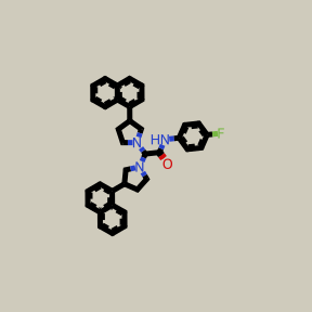 O=C(Nc1ccc(F)cc1)C(N1CCC(c2cccc3ccccc23)C1)N1CCC(c2cccc3ccccc23)C1